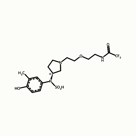 Cc1cc(N([C@H]2CCN(CCOCCNC(=O)C(F)(F)F)C2)S(=O)(=O)O)ccc1O